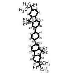 CCC(C)(C)c1ccc2c(c1)C(CC)(CC)c1cc(-c3ccc(-c4ccc5c(c4)C(CC)(CC)c4cc(C(C)(C)CC)ccc4-5)cc3)ccc1-2